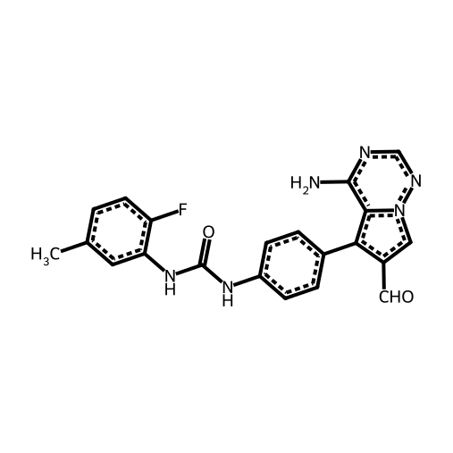 Cc1ccc(F)c(NC(=O)Nc2ccc(-c3c(C=O)cn4ncnc(N)c34)cc2)c1